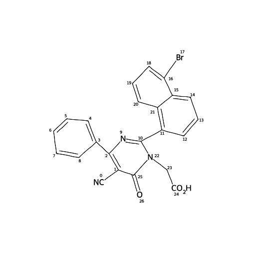 N#Cc1c(-c2ccccc2)nc(-c2cccc3c(Br)cccc23)n(CC(=O)O)c1=O